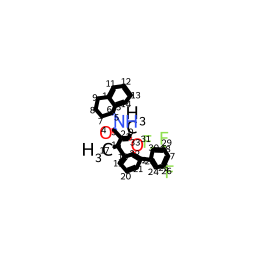 CC1=C(C(=O)NC2CCCc3ccccc32)C(C)c2cccc(-c3cc(F)cc(F)c3F)c2O1